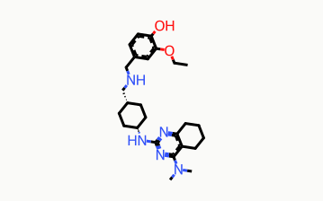 CCOc1cc(CNC[C@H]2CC[C@@H](Nc3nc4c(c(N(C)C)n3)CCCC4)CC2)ccc1O